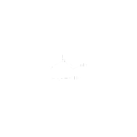 CC=O.CCCC=[NH+][O-]